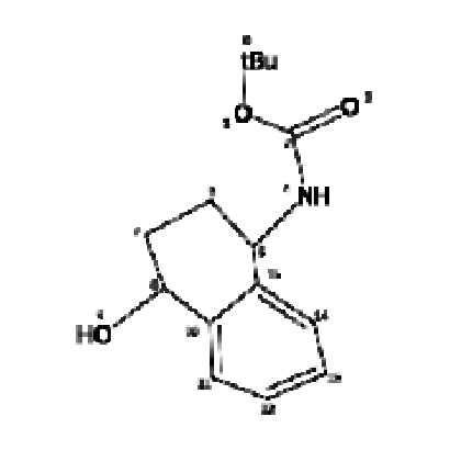 CC(C)(C)OC(=O)NC1CCC(O)c2ccccc21